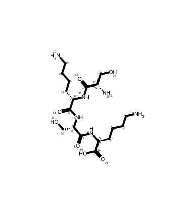 NCCCC[C@H](NC(=O)[C@H](CO)NC(=O)[C@H](CCCCN)NC(=O)[C@@H](N)CO)C(=O)O